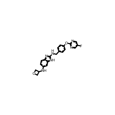 Fc1cnc(Oc2ccc(CNc3nc4ccc(NC5COC5)cc4[nH]3)cc2)nc1